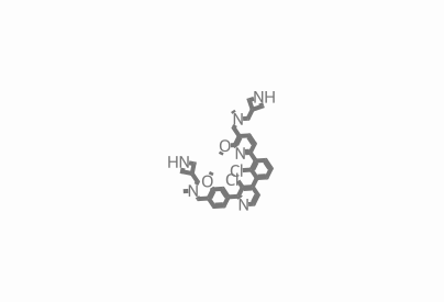 COc1cc(-c2nccc(-c3cccc(-c4ccc(CN(C)CC5CNC5)c(OC)n4)c3Cl)c2Cl)ccc1CN(C)CC1CNC1